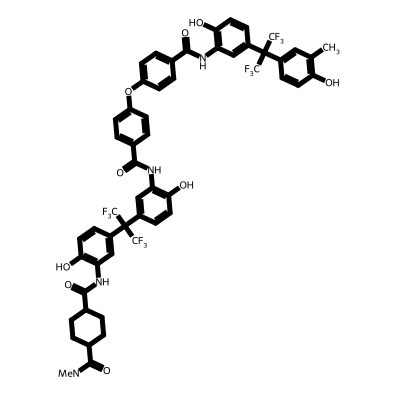 CNC(=O)C1CCC(C(=O)Nc2cc(C(c3ccc(O)c(NC(=O)c4ccc(Oc5ccc(C(=O)Nc6cc(C(c7ccc(O)c(C)c7)(C(F)(F)F)C(F)(F)F)ccc6O)cc5)cc4)c3)(C(F)(F)F)C(F)(F)F)ccc2O)CC1